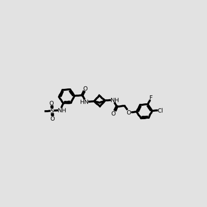 CS(=O)(=O)Nc1cccc(C(=O)NC23CC(NC(=O)COc4ccc(Cl)c(F)c4)(C2)C3)c1